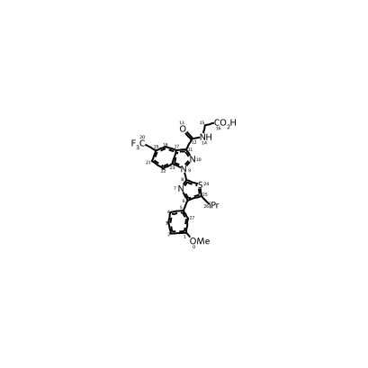 COc1cccc(-c2nc(-n3nc(C(=O)NCC(=O)O)c4cc(C(F)(F)F)ccc43)sc2C(C)C)c1